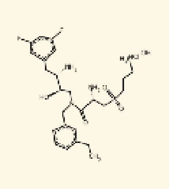 CCCCS(=O)(=O)C[C@@H](N)C(=O)N(Cc1cccc(CC)c1)C[C@@H](O)[C@@H](N)Cc1cc(F)cc(F)c1.Cl.Cl